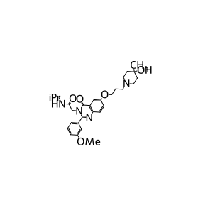 COc1cccc(-c2nc3ccc(OCCCN4CCC(C)(O)CC4)cc3c(=O)n2CC(=O)NC(C)C)c1